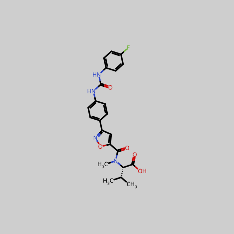 CC(C)[C@@H](C(=O)O)N(C)C(=O)c1cc(-c2ccc(NC(=O)Nc3ccc(F)cc3)cc2)no1